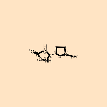 CC(C)N1CC[C@@H](C2NOC(=O)N2)C1